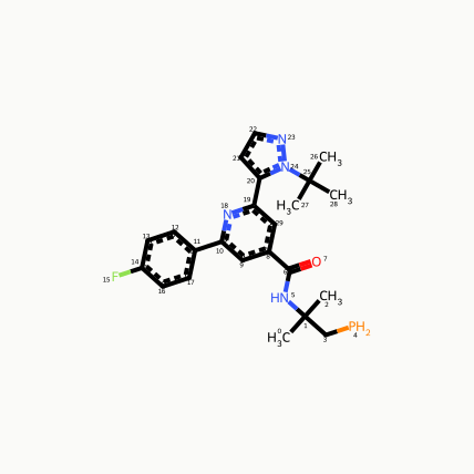 CC(C)(CP)NC(=O)c1cc(-c2ccc(F)cc2)nc(-c2ccnn2C(C)(C)C)c1